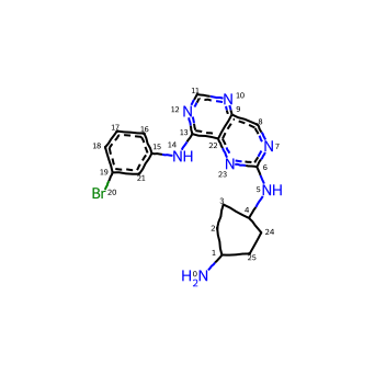 NC1CCC(Nc2ncc3ncnc(Nc4cccc(Br)c4)c3n2)CC1